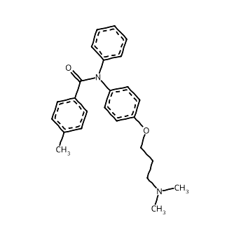 Cc1ccc(C(=O)N(c2ccccc2)c2ccc(OCCCN(C)C)cc2)cc1